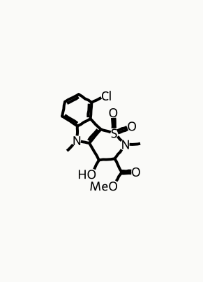 COC(=O)C1C(O)c2c(c3c(Cl)cccc3n2C)S(=O)(=O)N1C